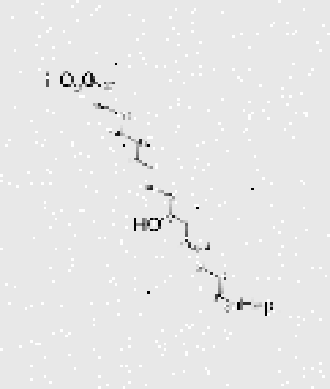 CCCCCCCC=CCC=CCC(O)CCCCCCCCCC(=O)O